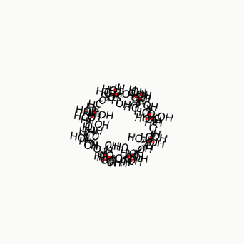 OC[C@H]1O[C@@H]2O[C@H]3[C@H](O)[C@@H](O)[C@@H](O[C@H]4[C@H](O)[C@@H](O)[C@@H](O[C@H]5[C@H](O)[C@@H](O)[C@@H](O[C@H]6[C@H](O)[C@@H](O)[C@@H](O[C@H]7[C@H](O)[C@@H](O)[C@@H](O[C@H]8[C@H](O)[C@@H](O)[C@@H](O[C@H]9[C@H](O)[C@@H](O)[C@@H](OC[C@H]1[C@H](O)[C@H]2O)O[C@@H]9CO)O[C@@H]8CO)O[C@@H]7CO)O[C@@H]6CO)O[C@@H]5CO)O[C@@H]4CO)O[C@@H]3CO